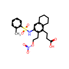 Cc1ccccc1S(=O)(=O)Nc1cc2c(c(CCC(=O)O)c1CCO[N+](=O)[O-])CCCC2